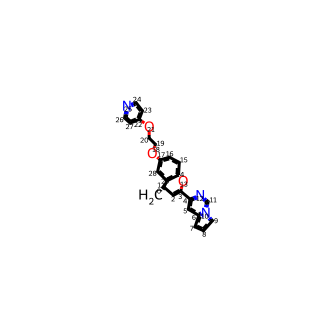 C=C1C=C(c2cc3cccn3cn2)Oc2ccc(OCCOc3ccncc3)cc21